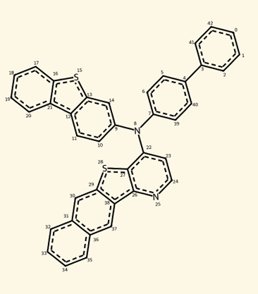 c1ccc(-c2ccc(N(c3ccc4c(c3)sc3ccccc34)c3ccnc4c3sc3cc5ccccc5cc34)cc2)cc1